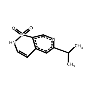 CC(C)c1cc2c(cn1)S(=O)(=O)NC=C2